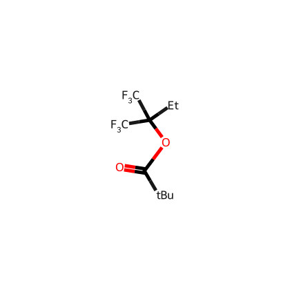 CCC(OC(=O)C(C)(C)C)(C(F)(F)F)C(F)(F)F